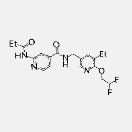 CCC(=O)Nc1cc(C(=O)NCc2cnc(OCC(F)F)c(CC)c2)ccn1